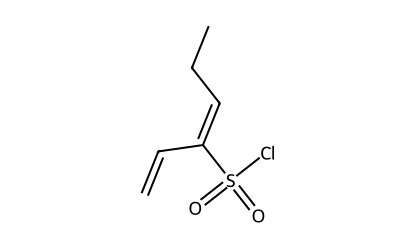 C=C/C(=C\CC)S(=O)(=O)Cl